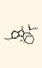 COc1ccc2[nH]c3c(c2c1)[C@@H]1CCCN(C1)[C@H]3C(=O)O